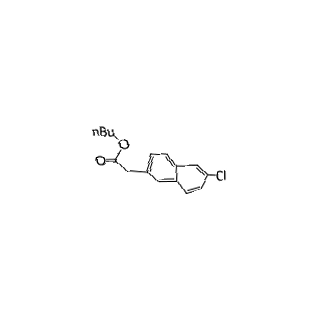 CCCCOC(=O)Cc1ccc2cc(Cl)ccc2c1